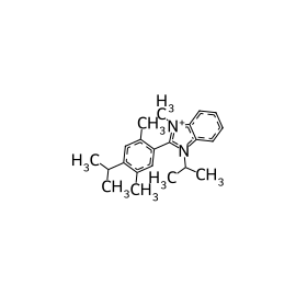 Cc1cc(C(C)C)c(C)cc1-c1n(C(C)C)c2ccccc2[n+]1C